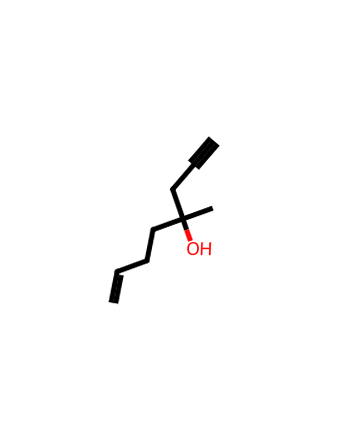 C#CCC(C)(O)CCC=C